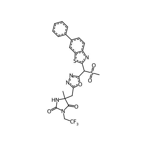 CC1(Cc2nnc(C(c3nc4ccc(-c5ccccc5)cc4s3)S(C)(=O)=O)o2)NC(=O)N(CC(F)(F)F)C1=O